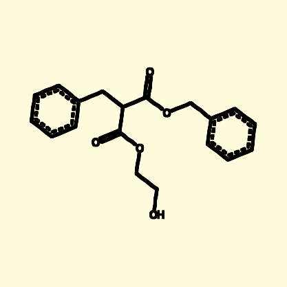 O=C(OCCO)C(Cc1ccccc1)C(=O)OCc1ccccc1